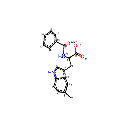 Cc1ccc2[nH]cc(CC(NC(=O)c3ccccc3)C(=O)O)c2c1